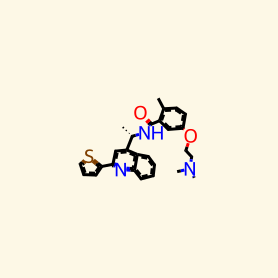 Cc1ccc(OCCN(C)C)cc1C(=O)N[C@@H](C)c1cc(-c2cccs2)nc2ccccc12